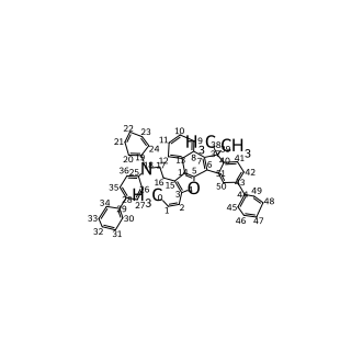 C/C=C\c1oc2c3c(c4ccccc4c2c1CCN(c1ccccc1)c1ccc(-c2ccccc2)cc1)C(C)(C)c1ccc(-c2ccccc2)cc1-3